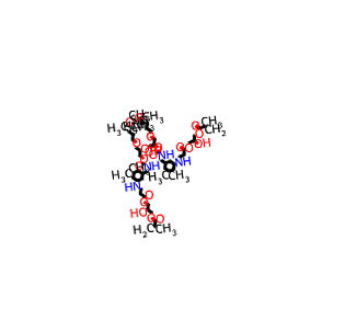 C=C(C)C(=O)OCC(O)COC(=O)CCNC1CC(CNC(=O)OCC(O)COCCC[Si](C)(C)O[Si](C)(C)O[Si](C)(C)CCCOCC(CO)OC(=O)NCC2CC(NCCC(=O)OCC(O)COC(=O)C(=C)C)CC(C)(C)C2)CC(C)(C)C1